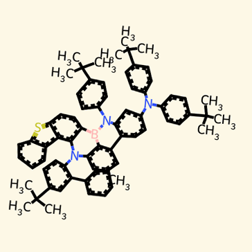 Cc1cc2c3c(c1)N(c1ccc(C(C)(C)C)cc1-c1ccccc1)c1c(ccc4sc5ccccc5c14)B3N(c1ccc(C(C)(C)C)cc1)c1cc(N(c3ccc(C(C)(C)C)cc3)c3ccc(C(C)(C)C)cc3)ccc1-2